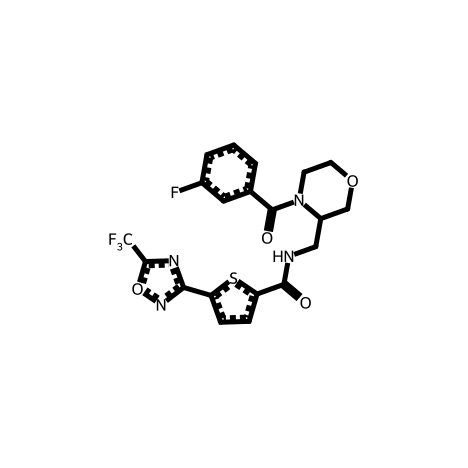 O=C(NCC1COCCN1C(=O)c1cccc(F)c1)c1ccc(-c2noc(C(F)(F)F)n2)s1